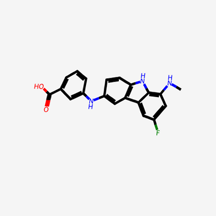 CNc1cc(F)cc2c1[nH]c1ccc(Nc3cccc(C(=O)O)c3)cc12